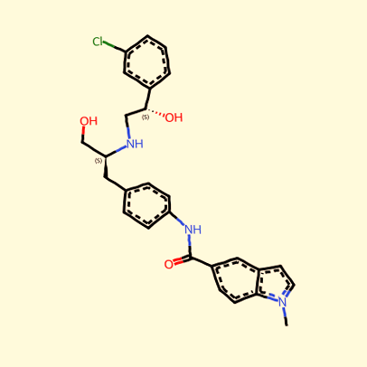 Cn1ccc2cc(C(=O)Nc3ccc(C[C@@H](CO)NC[C@@H](O)c4cccc(Cl)c4)cc3)ccc21